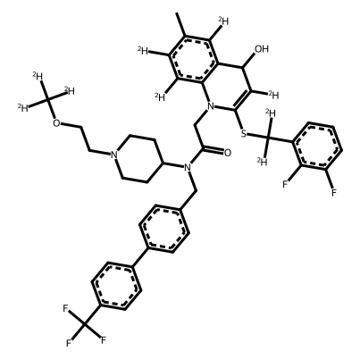 [2H]C1=C(SC([2H])([2H])c2cccc(F)c2F)N(CC(=O)N(Cc2ccc(-c3ccc(C(F)(F)F)cc3)cc2)C2CCN(CCOC([2H])([2H])[2H])CC2)c2c([2H])c([2H])c(C)c([2H])c2C1O